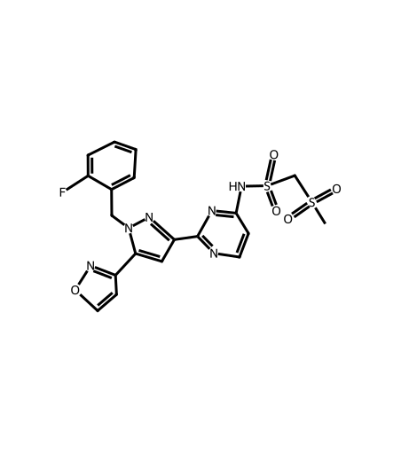 CS(=O)(=O)CS(=O)(=O)Nc1ccnc(-c2cc(-c3ccon3)n(Cc3ccccc3F)n2)n1